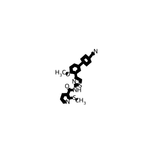 COc1ccc(-c2ccc(C#N)cc2)cc1-c1csc(NC(=O)c2cccnc2SC)n1